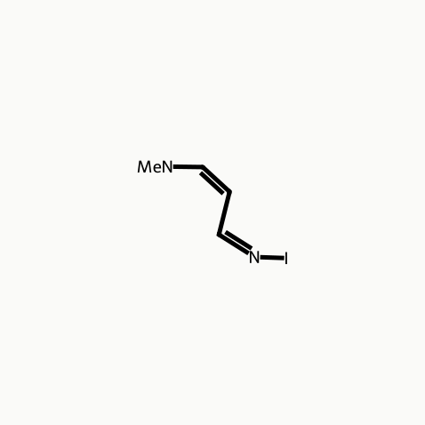 CN/C=C\C=N/I